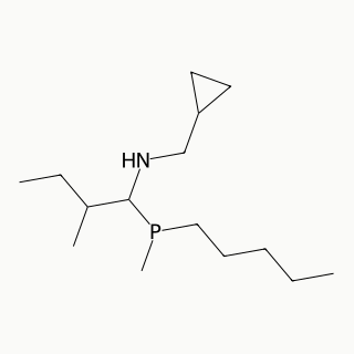 CCCCCP(C)C(NCC1CC1)C(C)CC